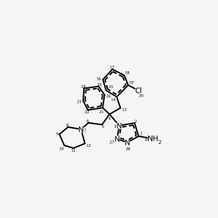 Nc1cn(C(CCN2CCCCC2)(Cc2ccccc2Cl)c2ccccc2)nn1